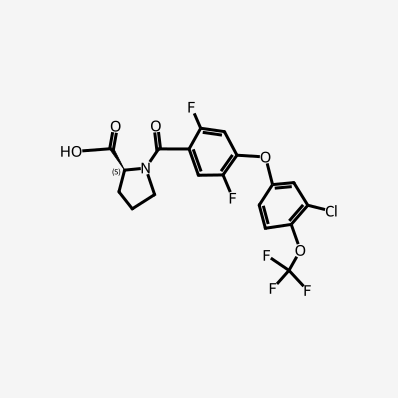 O=C(O)[C@@H]1CCCN1C(=O)c1cc(F)c(Oc2ccc(OC(F)(F)F)c(Cl)c2)cc1F